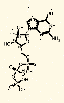 C[C@@]1(O)[C@H](O)[C@@H](COP(O)(=S)OP(=O)(O)OP(=O)(O)O)O[C@H]1n1cnc2c1N=C(N)NC2O